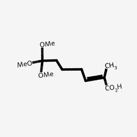 COC(CCCC=C(C)C(=O)O)(OC)OC